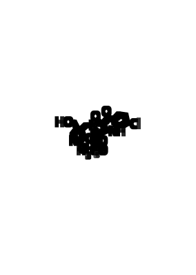 Cc1ncc(CO)c(Cn2nc(OS(C)(=O)=O)c3[nH]c4cc(Cl)ccc4c(=O)c3c2=O)c1O